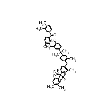 Cc1ccc(C(=O)c2ccc(C)c(Cc3cc(C(C)(C)c4ccc(Cc5ccc(C(c6ccc(C)c(C)c6)(C(F)(F)F)C(F)(F)F)cc5C)c(C)c4)ccc3C)c2)cc1C